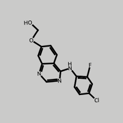 OCOc1ccc2c(Nc3ccc(Cl)cc3F)ncnc2c1